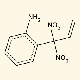 C=CC(c1ccccc1N)([N+](=O)[O-])[N+](=O)[O-]